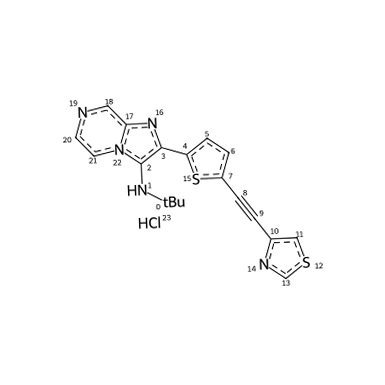 CC(C)(C)Nc1c(-c2ccc(C#Cc3cscn3)s2)nc2cnccn12.Cl